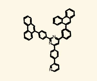 c1cncc(-c2ccc(-c3cc(-c4cccc(-c5cc6ccccc6c6ccccc56)c4)nc(-c4ccc(-c5cc6ccccc6c6ccccc56)cc4)n3)cc2)c1